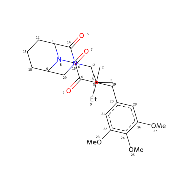 CCC(C)(C)C(=O)C(=O)N1C2CCCC1C(=O)N(CCCc1cc(OC)c(OC)c(OC)c1)C2